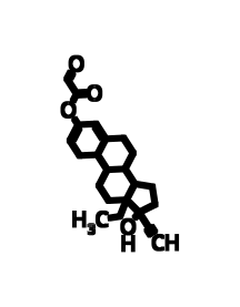 C#CC1(O)CCC2C3CCC4=CC(OC(=O)C=O)=CCC4C3CCC21CC